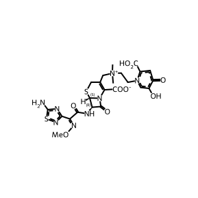 CON=C(C(=O)N[C@@H]1C(=O)N2C(C(=O)[O-])=C(C[N+](C)(C)CCn3cc(O)c(=O)cc3C(=O)O)CS[C@@H]12)c1nsc(N)n1